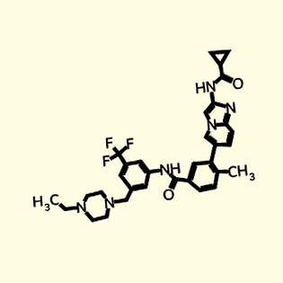 CCN1CCN(Cc2cc(NC(=O)c3ccc(C)c(-c4ccc5nc(NC(=O)C6CC6)cn5c4)c3)cc(C(F)(F)F)c2)CC1